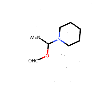 CNC(OC=O)N1CCCCC1